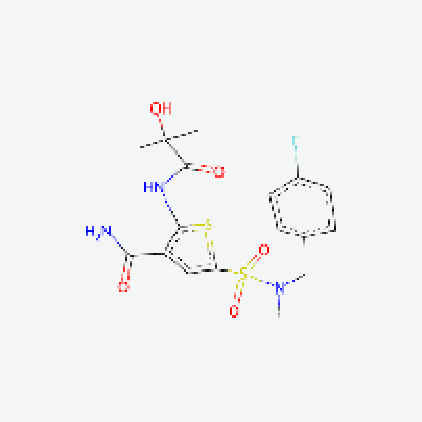 CN(Cc1ccc(F)cc1)S(=O)(=O)c1cc(C(N)=O)c(NC(=O)C(C)(C)O)s1